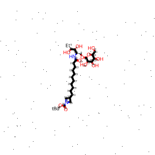 CC[C@@H](O)[C@@H](O)[C@H](COC1OC(CO)C(O)C(O)C1O)NC(=O)CCCCCCCCCCC1CN(C(=O)OC(C)(C)C)C1